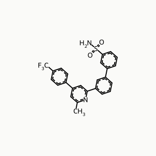 Cc1cc(-c2ccc(C(F)(F)F)cc2)cc(-c2cccc(-c3cccc(S(N)(=O)=O)c3)c2)n1